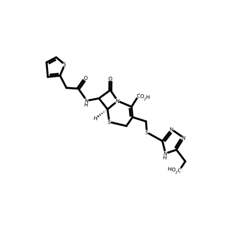 O=C(O)Cc1nnc(SCC2=C(C(=O)O)N3C(=O)C(NC(=O)Cc4cccs4)[C@@H]3SC2)[nH]1